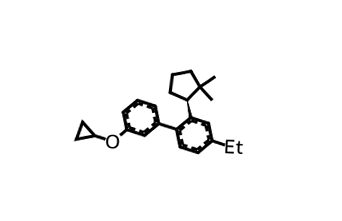 CCc1ccc(-c2cccc(OC3CC3)c2)c([C@H]2CCCC2(C)C)c1